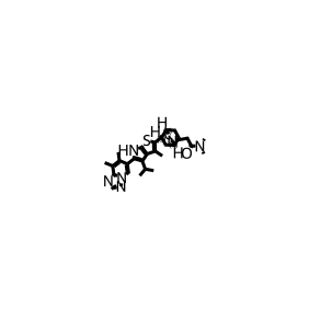 Cc1c(-c2[nH]c3sc([C@H]4C[C@@H]5CC[C@H]4CN5CC(=O)N(C)C)c(C)c3c2C(C)C)cn2ncnc2c1C